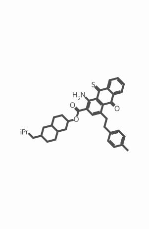 Cc1ccc(CCc2cc(C(=O)OC3CCC4CC(CC(C)C)CCC4C3)c(N)c3c2C(=O)c2ccccc2C3=S)cc1